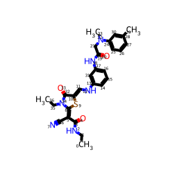 CCNC(=O)C(C#N)=c1sc(=CNc2cccc(NC(=O)CN(C)c3cccc(C)c3)c2)c(=O)n1CC